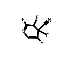 N#CC1(F)C(F)=CN=C(F)C1F